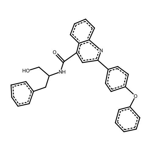 O=C(NC(CO)Cc1ccccc1)c1cc(-c2ccc(Oc3ccccc3)cc2)nc2ccccc12